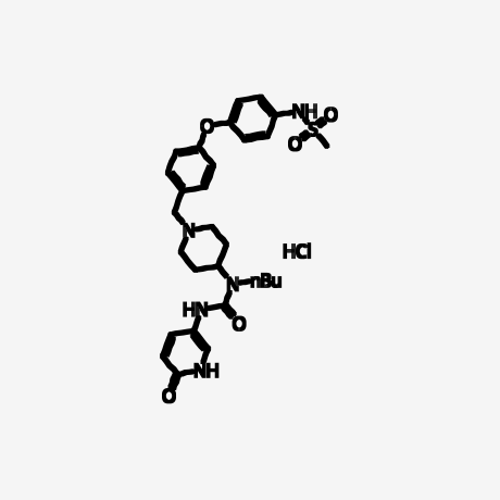 CCCCN(C(=O)Nc1ccc(=O)[nH]c1)C1CCN(Cc2ccc(Oc3ccc(NS(C)(=O)=O)cc3)cc2)CC1.Cl